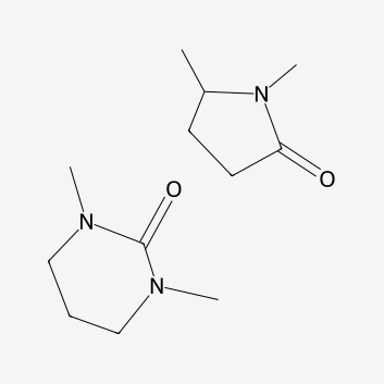 CC1CCC(=O)N1C.CN1CCCN(C)C1=O